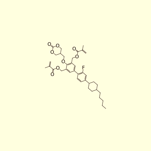 C=C(C)C(=O)OCc1cc(-c2ccc(C3CCC(CCCCC)CC3)cc2F)cc(COC(=O)C(=C)C)c1OCC1COC(=O)OC1